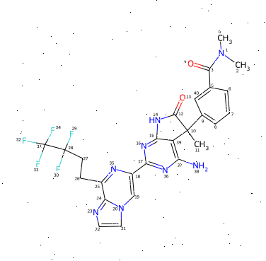 CN(C)C(=O)c1cccc(C2(C)C(=O)Nc3nc(-c4cn5ccnc5c(CCC(F)(F)C(F)(F)F)n4)nc(N)c32)c1